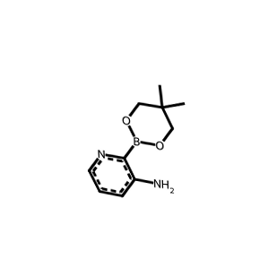 CC1(C)COB(c2ncccc2N)OC1